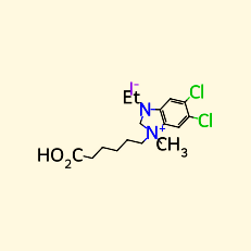 CCN1C[N+](C)(CCCCCC(=O)O)c2cc(Cl)c(Cl)cc21.[I-]